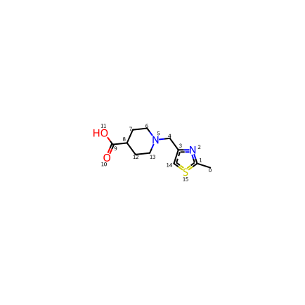 Cc1nc(CN2CCC(C(=O)O)CC2)cs1